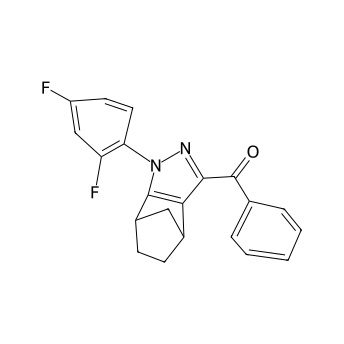 O=C(c1ccccc1)c1nn(-c2ccc(F)cc2F)c2c1C1CCC2C1